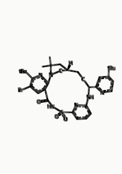 CC(C)(C)c1ccnc(C2CC[C@@H]3CN(c4nc(C(C)(C)C)c(Br)cc4C(=O)NS(=O)(=O)c4cccc(n4)N2)C(C)(C)C3)c1